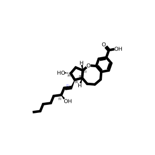 CCCCC[C@H](O)/C=C/[C@@H]1[C@H]2CCCc3ccc(C(=O)O)cc3O[C@H]2C[C@H]1O